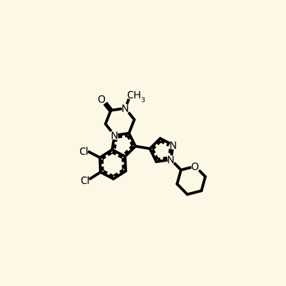 CN1Cc2c(-c3cnn(C4CCCCO4)c3)c3ccc(Cl)c(Cl)c3n2CC1=O